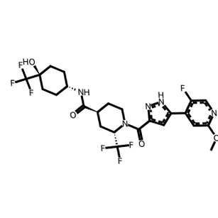 COc1cc(-c2cc(C(=O)N3CC[C@H](C(=O)N[C@H]4CC[C@@](O)(C(F)(F)F)CC4)C[C@H]3C(F)(F)F)n[nH]2)c(F)cn1